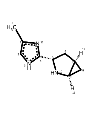 Cc1c[nH]c([C@@H]2C[C@H]3C[C@H]3N2)n1